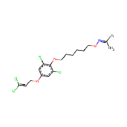 CC(=NOCCCCCCOc1c(Cl)cc(OCC=C(Cl)Cl)cc1Cl)C(C)C